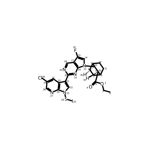 CCOC(=O)[C@H]1C2CCC(CC2)[C@@H]1n1cc(F)c2cnc(-c3cn(SI)c4ncc(Cl)cc34)nc21